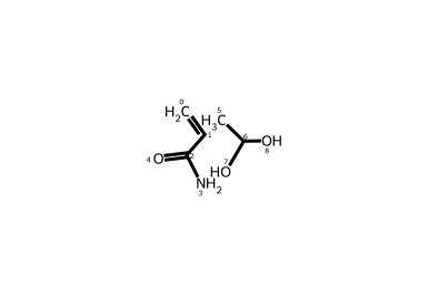 C=CC(N)=O.CC(O)O